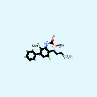 CCOC(=O)CCCc1c(F)cc(-c2ccccc2)c(OC)c1NC(=O)OC(C)(C)C